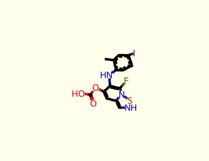 Cc1cc(I)ccc1NC1=C(F)N2SNC=C2C=C1OC(=O)O